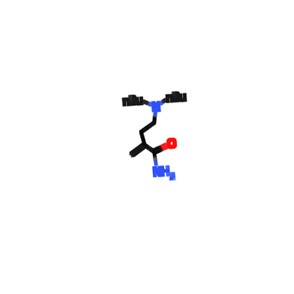 C=C(CCN(CCCC)CCCC)C(N)=O